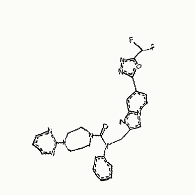 O=C(N1CCN(c2ncccn2)CC1)N(Cc1cn2ccc(-c3nnc(C(F)F)o3)cc2n1)c1ccccc1